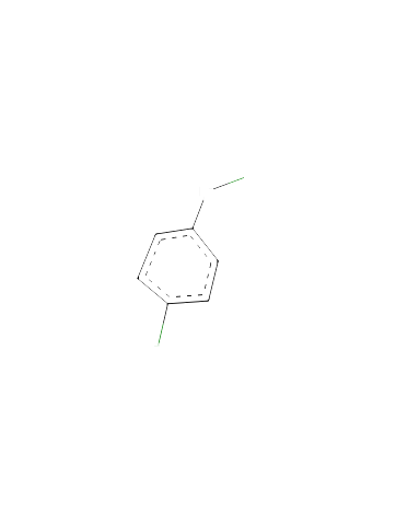 Fc1ccc(BCl)cc1